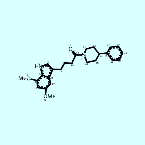 COc1cc(OC)c2[nH]cc(CCCC(=O)N3CCC(c4ccccc4)CC3)c2c1